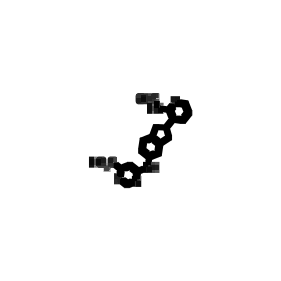 O=CNc1ncccc1C1Cc2ccc(Nc3cc(C(=O)O)ncn3)cc2C1